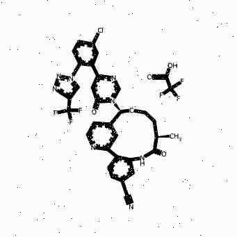 C[C@@H]1CCC[C@H](n2cnc(-c3cc(Cl)ccc3-n3cc(C(F)(F)F)nn3)cc2=O)c2ccnc(c2)-c2ccc(C#N)cc2NC1=O.O=C(O)C(F)(F)F